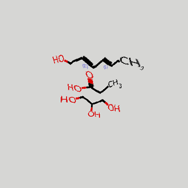 C/C=C/C=C/CO.CCC(=O)O.OCC(O)CO